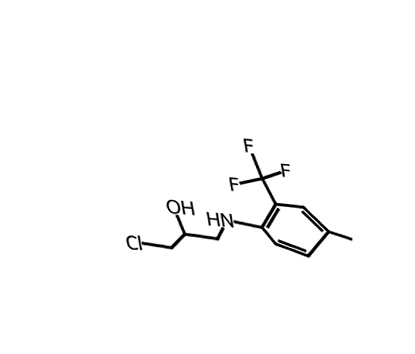 Cc1ccc(NCC(O)CCl)c(C(F)(F)F)c1